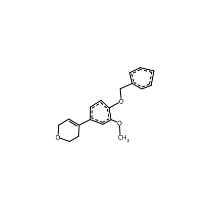 COc1cc(C2=CCOCC2)ccc1OCc1ccccc1